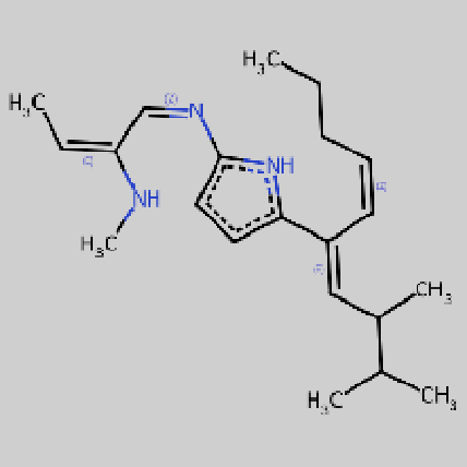 C/C=C(\C=N/c1ccc(C(/C=C\CCC)=C/C(C)C(C)C)[nH]1)NC